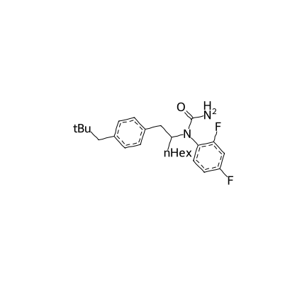 CCCCCCC(Cc1ccc(CC(C)(C)C)cc1)N(C(N)=O)c1ccc(F)cc1F